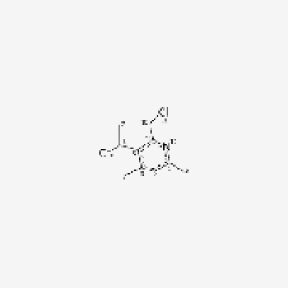 Cc1cc(C)c(C(C)Cl)c(CCl)n1